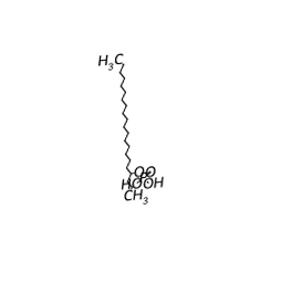 CCCCCCCCCCCCCCCCCC(CCC)OP(=O)(O)O